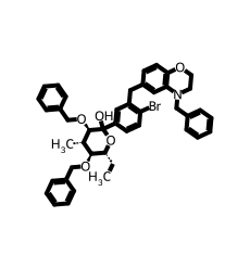 CC[C@H]1OC(O)(c2ccc(Br)c(Cc3ccc4c(c3)N(Cc3ccccc3)CCO4)c2)[C@H](OCc2ccccc2)[C@@H](C)[C@@H]1OCc1ccccc1